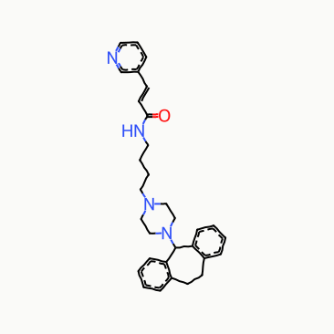 O=C(C=Cc1cccnc1)NCCCCN1CCN(C2c3ccccc3CCc3ccccc32)CC1